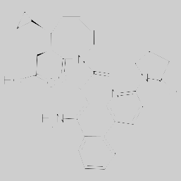 C=C(S/C=C(\N)c1ccccc1-c1ccc(N2CCCC2=O)nc1)N1C/C=C\C[C@H](C2CC2)[C@H](CC(=O)O)C1=O